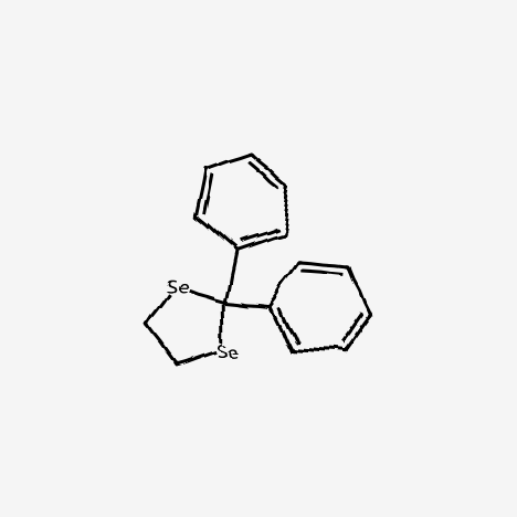 c1ccc(C2(c3ccccc3)[Se]CC[Se]2)cc1